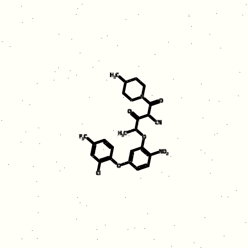 CC1CCN(C(=O)C(C#N)C(=O)C(C)Oc2cc(Oc3ccc(C(F)(F)F)cc3Cl)ccc2[N+](=O)[O-])CC1